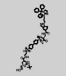 COC(=O)[C@H](CNC(=O)c1ccc2c(cnn2CCCNc2nccn2C(c2ccccc2)(c2ccccc2)c2ccccc2)c1)NS(=O)(=O)c1ccc(-c2ccc(S(=O)(=O)NCCNC(=O)[C@H](CSOOO)NC(=O)OC(C)(C)C)cc2)cc1